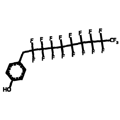 Oc1ccc(CC(F)(F)C(F)(F)C(F)(F)C(F)(F)C(F)(F)C(F)(F)C(F)(F)C(F)(F)C(F)(F)F)cc1